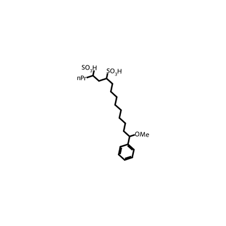 CCCC(CC(CCCCCCCCC(OC)c1ccccc1)S(=O)(=O)O)S(=O)(=O)O